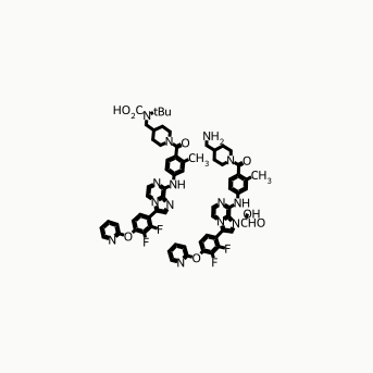 Cc1cc(Nc2nccn3c(-c4ccc(Oc5ccccn5)c(F)c4F)cnc23)ccc1C(=O)N1CCC(CN(C(=O)O)C(C)(C)C)CC1.Cc1cc(Nc2nccn3c(-c4ccc(Oc5ccccn5)c(F)c4F)cnc23)ccc1C(=O)N1CCC(CN)CC1.O=CO